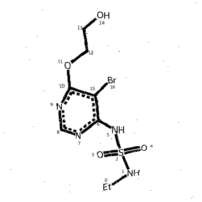 CCNS(=O)(=O)Nc1ncnc(OCCO)c1Br